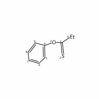 CCC(=S)Oc1ccccc1